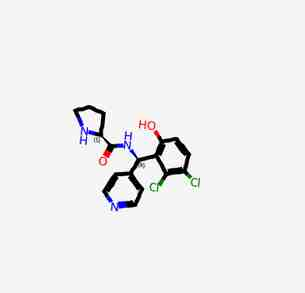 O=C(N[C@H](c1ccncc1)c1c(O)ccc(Cl)c1Cl)[C@@H]1CCCN1